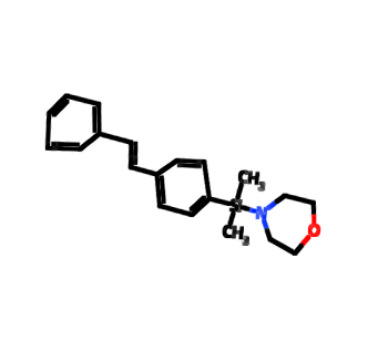 C[Si](C)(c1ccc(C=Cc2ccccc2)cc1)N1CCOCC1